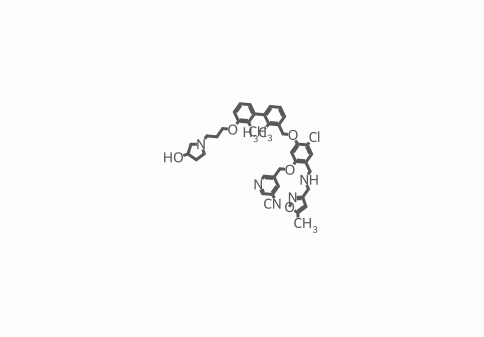 Cc1cc(CNCc2cc(Cl)c(OCc3cccc(-c4cccc(OCCCN5CCC(O)C5)c4C)c3C)cc2OCc2cncc(C#N)c2)no1